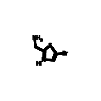 I.NCc1ncc(Br)s1